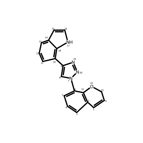 C1=Cc2cccc(-n3cc(-c4cccc5cc[nH]c45)nn3)c2OC1